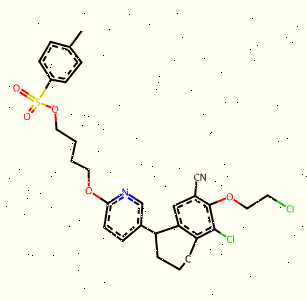 Cc1ccc(S(=O)(=O)OCCCCOc2ccc(C3CCCc4c3cc(C#N)c(OCCCl)c4Cl)cn2)cc1